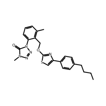 CCCCc1ccc(-c2csc(OCc3c(C)cccc3-n3nnn(C)c3=O)n2)cc1